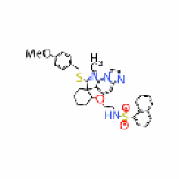 CN=C(SCc1ccc(OC)cc1)C1(c2ccc3nccn3c2)CCCCC1OCCNS(=O)(=O)c1cccc2ccccc12